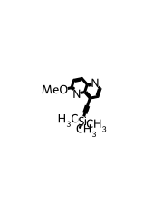 COc1ccc2nccc(C#C[Si](C)(C)C)c2n1